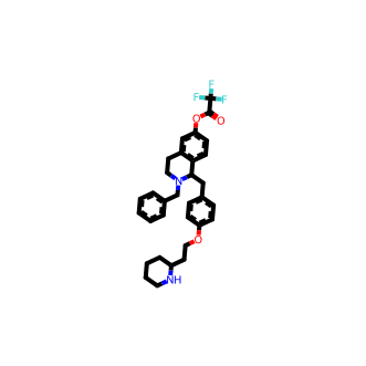 O=C(Oc1ccc2c(c1)CCN(Cc1ccccc1)C2Cc1ccc(OCCC2CCCCN2)cc1)C(F)(F)F